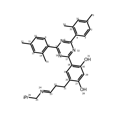 Cc1ccc(-c2nc(-c3ccc(C)cc3C)nc(-c3cc(CCC=NCC(C)C)c(O)cc3O)n2)c(C)c1